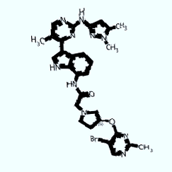 Cc1ncc(Br)c(O[C@H]2CCN(CC(=O)Nc3cccc4c(-c5nc(Nc6cc(C)n(C)n6)ncc5C)c[nH]c34)C2)n1